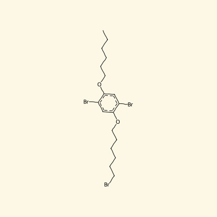 CCCCCCOc1cc(Br)c(OCCCCCCBr)cc1Br